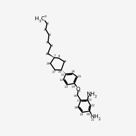 CCCCCCC[C@H]1CC[C@H](c2ccc(OCc3ccc(N)cc3N)cc2)CC1